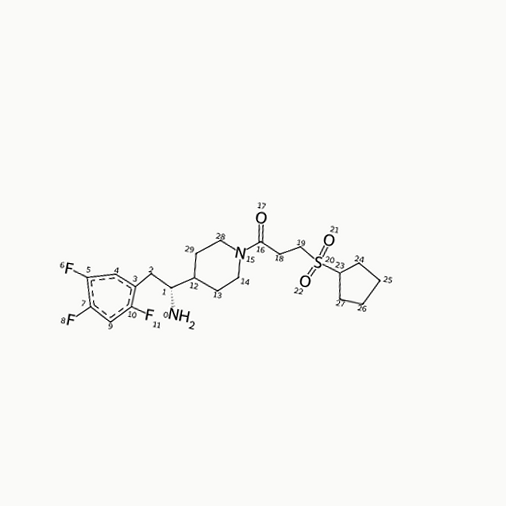 N[C@H](Cc1cc(F)c(F)cc1F)C1CCN(C(=O)CCS(=O)(=O)C2CCCC2)CC1